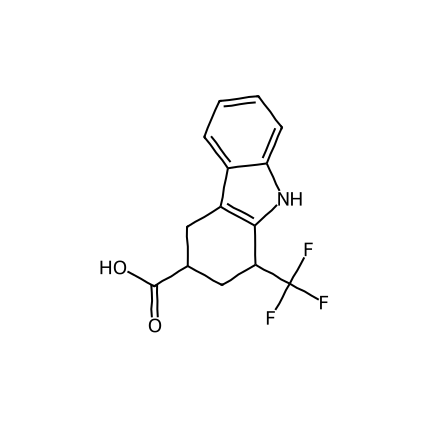 O=C(O)C1Cc2c([nH]c3ccccc23)C(C(F)(F)F)C1